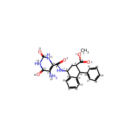 COC(=O)C1CC(NC(=O)c2[nH]c(=O)[nH]c(=O)c2N)c2ccccc2C1c1ccccc1